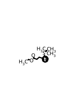 CCOC(=O)CC[C]12[CH]3[CH]4[CH]5[C]1(SC(C)(C)C)[Fe]43521678[CH]2[CH]1[CH]6[CH]7[CH]28